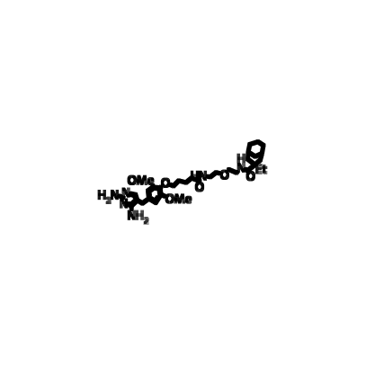 CCC1(C(=O)NCCOCCNC(=O)CCCCOc2c(OC)cc(Cc3cnc(N)nc3N)cc2OC)CC2CCCC(C2)C1